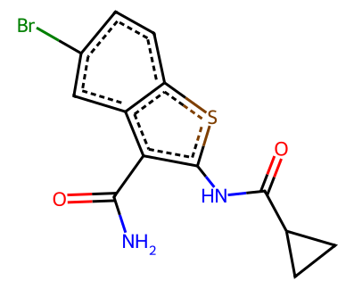 NC(=O)c1c(NC(=O)C2CC2)sc2ccc(Br)cc12